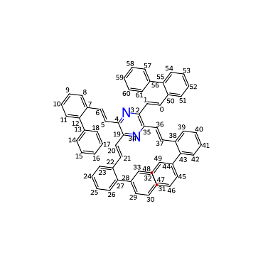 C(=Cc1nc(C=Cc2ccccc2-c2ccccc2)c(C=Cc2ccccc2-c2ccccc2)nc1C=Cc1ccccc1-c1ccccc1)c1ccccc1-c1ccccc1